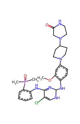 COc1cc(N2CCC(N3CCNC(=O)C3)CC2)ccc1NC1N=C(Nc2ccccc2P(C)(C)=O)C(Cl)=CN1